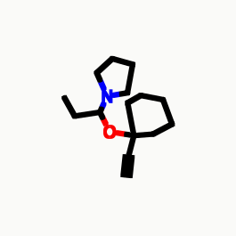 C#CC1(OC(CC)N2CCCC2)CCCCC1